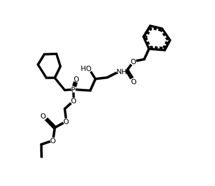 CCOC(=O)OCOP(=O)(CC(O)CNC(=O)OCc1ccccc1)CC1CCCCC1